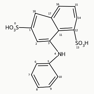 O=S(=O)(O)c1cc(Nc2ccccc2)c2c(S(=O)(=O)O)cccc2c1